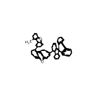 Cc1cccc2oc3ccc(-c4cccc5oc6ccc(-c7cccc8c7-c7ccccc7C87c8ccccc8-c8ccccc87)cc6c45)cc3c12